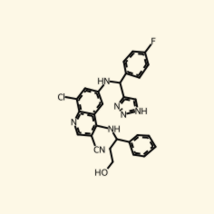 N#Cc1cnc2c(Cl)cc(NC(c3ccc(F)cc3)c3c[nH]nn3)cc2c1NC(CCO)c1ccccc1